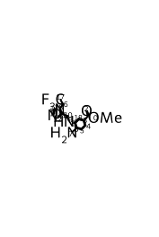 COC(=O)c1ccc(N)c(NCc2cncn2CC(F)(F)F)c1